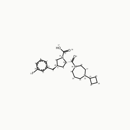 O=C([C@@H]1C[C@@H](Cc2cccc(F)c2)CN1C(=O)O)N1CCCN(C2CCC2)CC1